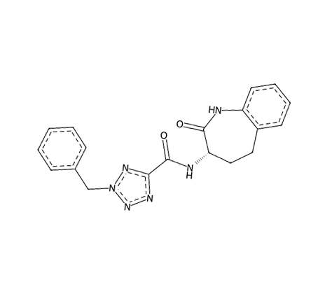 O=C(N[C@H]1CCc2ccccc2NC1=O)c1nnn(Cc2ccccc2)n1